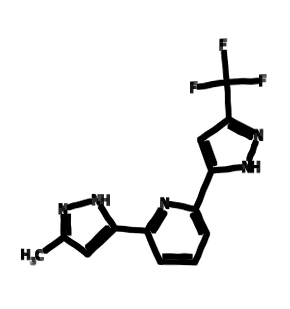 Cc1cc(-c2cccc(-c3cc(C(F)(F)F)n[nH]3)n2)[nH]n1